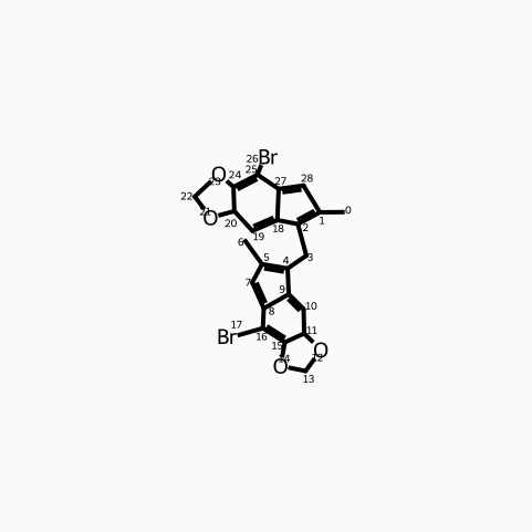 CC1=C(CC2=C(C)C=C3C2=CC2OCOC2=C3Br)C2=CC3OCOC3=C(Br)C2=C1